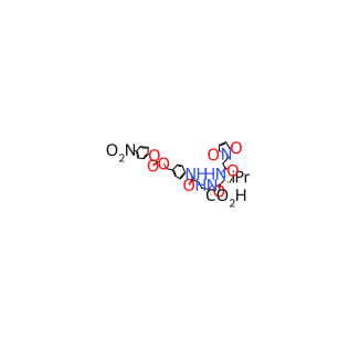 CC(C)C[C@@H](NC(=O)CCN1C(=O)C=CC1=O)C(=O)N[C@@H](CCC(=O)Nc1ccc(COC(=O)Oc2ccc([N+](=O)[O-])cc2)cc1)C(=O)O